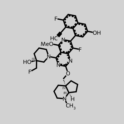 C#Cc1c(F)ccc2cc(O)cc(-c3nc(OC)c4c(N5CCC[C@@](O)(CF)C5)nc(OC[C@]56CCC[C@H]5N(C)CCC6)nc4c3F)c12